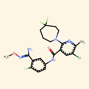 CON=C(N)c1cc(NC(=O)c2cc(Cl)c(C)nc2N2CCCC(F)(F)CC2)ccc1F